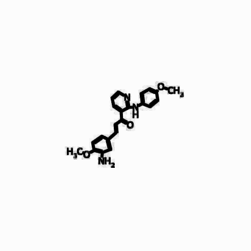 COc1ccc(Nc2ncccc2C(=O)/C=C/c2ccc(OC)c(N)c2)cc1